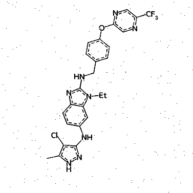 CCn1c(NCc2ccc(Oc3cnc(C(F)(F)F)cn3)cc2)nc2ccc(Nc3n[nH]c(C)c3Cl)cc21